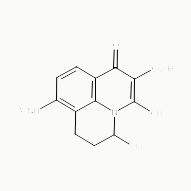 CC(=O)Nc1ccc2c(=O)c(C(=O)O)c(C)n3c2c1CCC3C